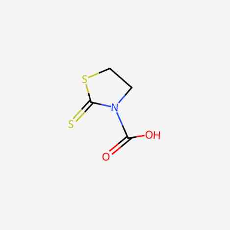 O=C(O)N1CCSC1=S